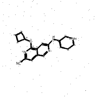 N#Cc1cc2cnc(NC3CCCNC3)cc2c(OC2CCC2)n1